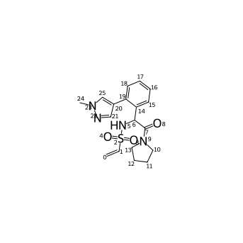 C=CS(=O)(=O)NC(C(=O)N1CCCC1)c1ccccc1-c1cnn(C)c1